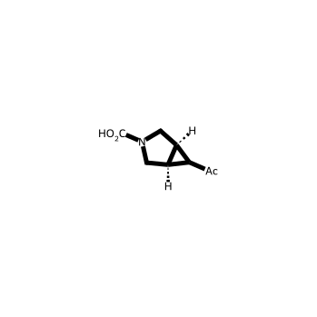 CC(=O)C1[C@H]2CN(C(=O)O)C[C@@H]12